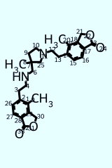 Cc1c(CCNCC2(C)CCN(CCc3ccc4c(c3C)COC4=O)C2)ccc2c1COC2=O